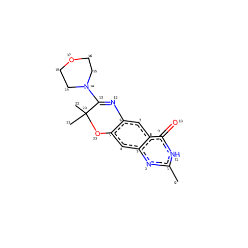 Cc1nc2cc3c(cc2c(=O)[nH]1)N=C(N1CCOCC1)C(C)(C)O3